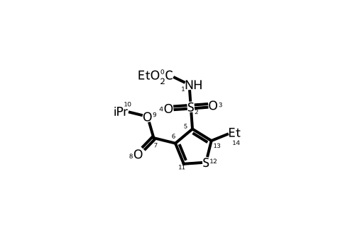 CCOC(=O)NS(=O)(=O)c1c(C(=O)OC(C)C)csc1CC